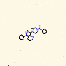 CC1CN(C(=O)c2ccccc2)CCN1c1nnc(-c2ccccc2)c2cccnc12